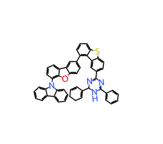 C1=CC(C2N=C(c3ccc4sc5cccc(-c6ccc7oc8c(-n9c%10ccccc%10c%10ccccc%109)cccc8c7c6)c5c4c3)N=C(c3ccccc3)N2)=CCC1